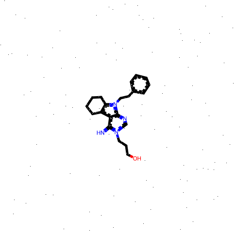 N=c1c2c3c(n(CCc4ccccc4)c2ncn1CCCO)CCCC3